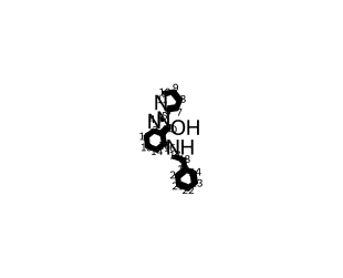 Oc1c2c(nn1-c1ccccn1)CCCC2NCCc1ccccc1